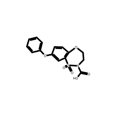 O=C(O)N1CCOc2ccc(Oc3ccccc3)cc2S1(=O)=O